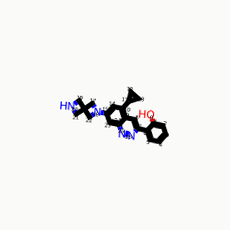 Oc1ccccc1-c1cc2c(C3CC3)cc(N3CC4(CNC4)C3)cc2nn1